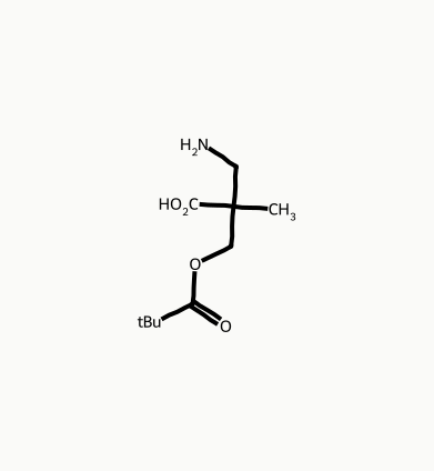 CC(C)(C)C(=O)OCC(C)(CN)C(=O)O